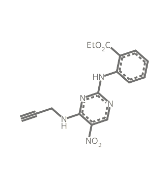 C#CCNc1nc(Nc2ccccc2C(=O)OCC)ncc1[N+](=O)[O-]